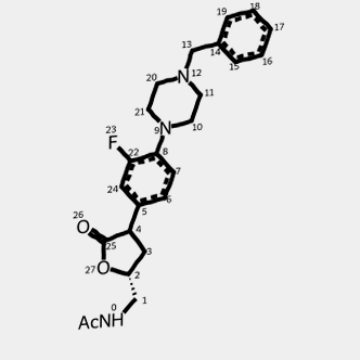 CC(=O)NC[C@H]1CC(c2ccc(N3CCN(Cc4ccccc4)CC3)c(F)c2)C(=O)O1